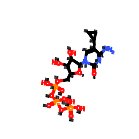 Nc1nc(=O)n(C2OC(COP(=O)(O)OP(=O)(O)OP(=O)(O)O)C(O)C2O)cc1C1CC1